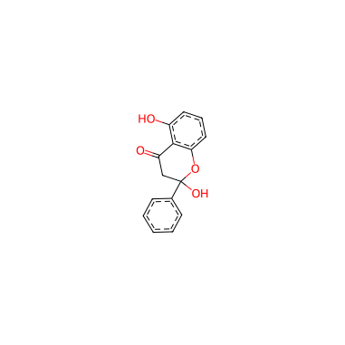 O=C1CC(O)(c2ccccc2)Oc2cccc(O)c21